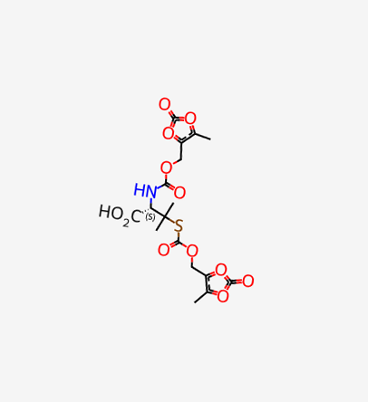 Cc1oc(=O)oc1COC(=O)N[C@@H](C(=O)O)C(C)(C)SC(=O)OCc1oc(=O)oc1C